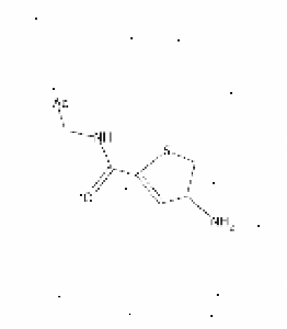 CC(=O)CNC(=O)C1=CC(N)CS1